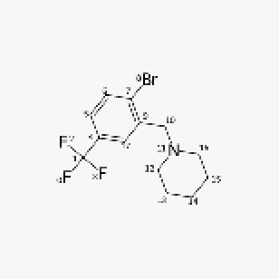 FC(F)(F)c1ccc(Br)c(CN2CCCCC2)c1